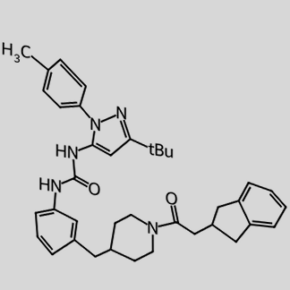 Cc1ccc(-n2nc(C(C)(C)C)cc2NC(=O)Nc2cccc(CC3CCN(C(=O)CC4Cc5ccccc5C4)CC3)c2)cc1